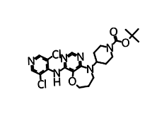 CC(C)(C)OC(=O)N1CCC(N2CCCOc3c(Nc4c(Cl)cncc4Cl)ncnc32)CC1